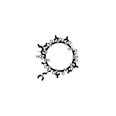 C/C=C/C[C@@H](C)[C@@H](O)[C@@H]1C(=O)N[C@H](CC)C(=O)N(C)[C@H](CSCCN(CC)CC)C(=O)N(C)[C@@H](CC(C)C)C(=O)N[C@H](C(C)C)C(=O)N(C)C(CC(C)C)C(=O)N[C@H](C)C(=O)N[C@@H](C)C(=O)N(C)[C@H](CC(C)C)C(=O)N(C)[C@H](CC(C)C)C(=O)N(C)[C@H](C(C)C)C(=O)N1C